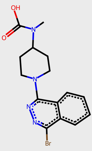 CN(C(=O)O)C1CCN(c2nnc(Br)c3ccccc23)CC1